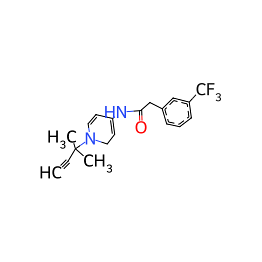 C#CC(C)(C)N1C=CC(NC(=O)Cc2cccc(C(F)(F)F)c2)=CC1